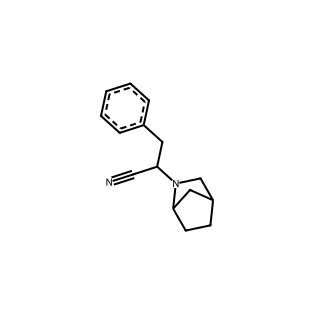 N#CC(Cc1ccccc1)N1CC2CCC1C2